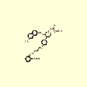 COc1ccccc1COCCCOc1ccc(C2CCN(OC(=O)OC(C)(C)C)CC2OCc2ccc3ccc(O)cc3c2)cc1